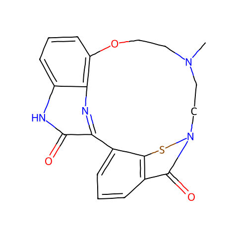 CN1CCOc2cccc3[nH]c(=O)c(nc23)-c2cccc3c(=O)n(sc23)CC1